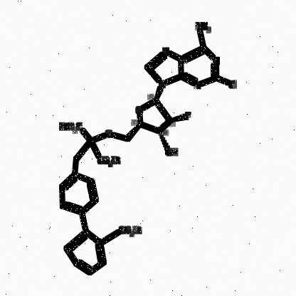 CCOC(=O)c1ccccc1-c1ccc(CC(OC[C@H]2O[C@@H](n3cnc4c(N)nc(Cl)nc43)[C@@H](F)[C@@H]2O)(C(=O)OCC)C(=O)OCC)cc1